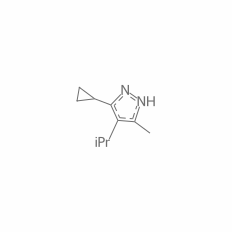 Cc1[nH]nc(C2CC2)c1C(C)C